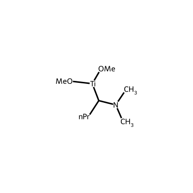 CCC[CH](N(C)C)[Ti]([O]C)[O]C